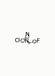 CN1CCc2c(c3cc(Cl)ccc3n2C2=C(c3ccc(F)cc3)C2)C1